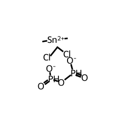 ClCCl.O=[PH]([O-])O[PH](=O)[O-].[CH3][Sn+2][CH3]